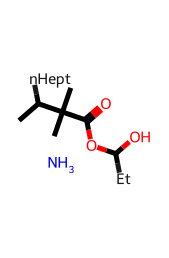 CCCCCCCC(C)C(C)(C)C(=O)OC(O)CC.N